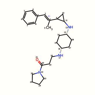 C/C(=C\c1ccccc1)C1CC1N[C@H]1CC[C@@H](NCCC(=O)N2CCCC2)CC1